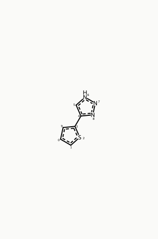 c1csc(-c2c[nH]nn2)c1